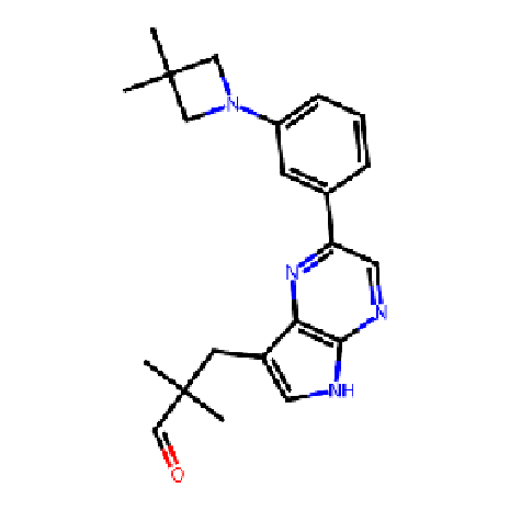 CC(C)(C=O)Cc1c[nH]c2ncc(-c3cccc(N4CC(C)(C)C4)c3)nc12